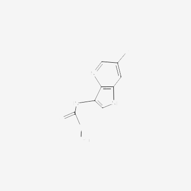 CC(C)(C)OC(=O)Nc1c[nH]c2cc(Br)cnc12